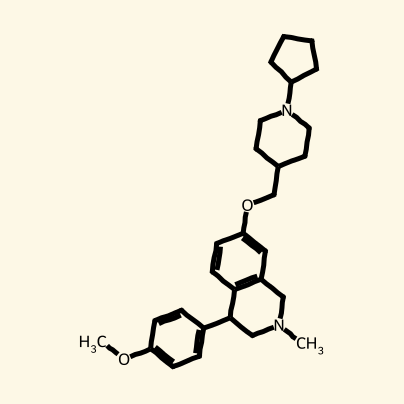 COc1ccc(C2CN(C)Cc3cc(OCC4CCN(C5CCCC5)CC4)ccc32)cc1